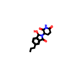 CCCc1ccc2c(c1)C(=O)N(C1CCC(=O)NC1=O)C2O